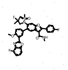 CNC(=O)c1c(-c2ccc(F)cc2)oc2cc(N3CC(C)(F)C=S3(C)=O)c(-c3ccc(OC)c(-c4nc5c(F)cccc5o4)c3)cc12